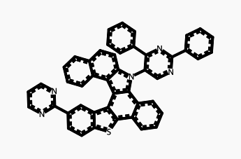 c1ccc(-c2ncc(-n3c4ccc5ccccc5c4c4c5c6cc(-c7ncccn7)ccc6sc5c5ccccc5c43)c(-c3ccccc3)n2)cc1